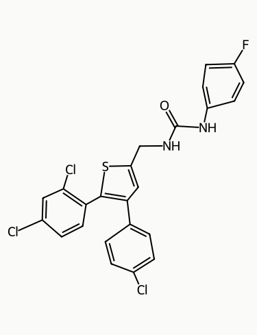 O=C(NCc1cc(-c2ccc(Cl)cc2)c(-c2ccc(Cl)cc2Cl)s1)Nc1ccc(F)cc1